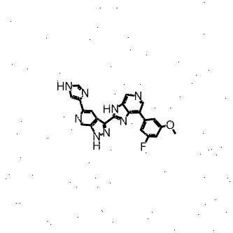 COc1cc(F)cc(-c2cncc3[nH]c(-c4n[nH]c5cnc(-c6c[nH]cn6)cc45)nc23)c1